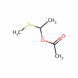 CSC(C)OC(C)=O